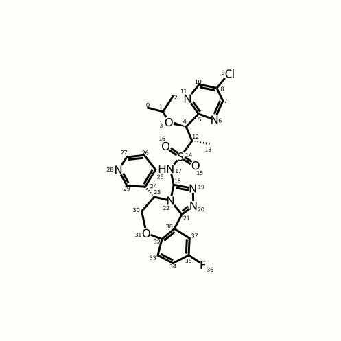 CC(C)O[C@@H](c1ncc(Cl)cn1)[C@H](C)S(=O)(=O)Nc1nnc2n1[C@@H](c1cccnc1)COc1ccc(F)cc1-2